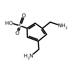 NCc1cc(CN)cc(S(=O)(=O)O)c1